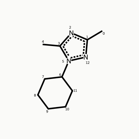 Cc1nc(C)n(C2CCCCC2)n1